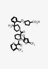 CCC[C@H]1N(C(=O)c2ncccc2C(F)(F)F)CCC[C@@]1(Oc1csc(C(F)(F)F)c1)C(=O)N1CCC(N)(c2ccccc2CO[C@H]2CCC(C(=O)O)C2)CC1